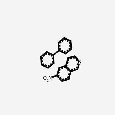 O=[N+]([O-])c1ccc2cnccc2c1.c1ccc(-c2ccccc2)cc1